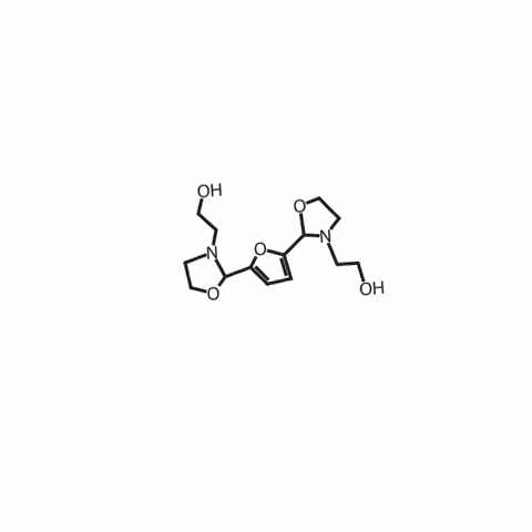 OCCN1CCOC1c1ccc(C2OCCN2CCO)o1